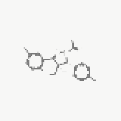 CC(=O)N1N=C2c3cc(C)ccc3OC[C@@H]2[C@@H]1c1ccc(C)cc1